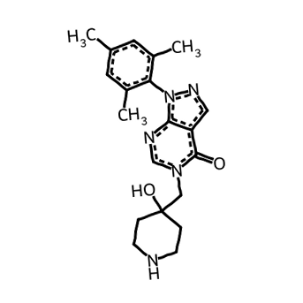 Cc1cc(C)c(-n2ncc3c(=O)n(CC4(O)CCNCC4)cnc32)c(C)c1